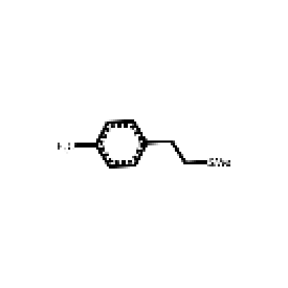 CSCCc1ccc(C(F)(F)F)cc1